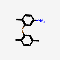 Cc1ccc(C)c(Sc2cc(N)ccc2C)c1